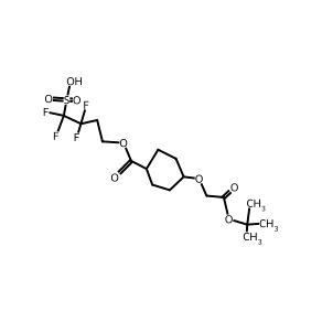 CC(C)(C)OC(=O)COC1CCC(C(=O)OCCC(F)(F)C(F)(F)S(=O)(=O)O)CC1